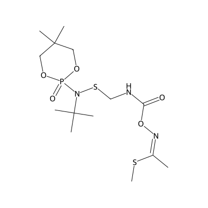 CSC(C)=NOC(=O)NCSN(C(C)(C)C)P1(=O)OCC(C)(C)CO1